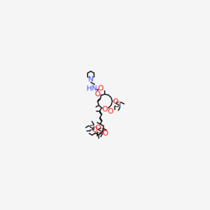 CCC(O[Si](CC)(CC)CC)C(C)C1OC1CC(C)(/C=C/C=C(\C)C1OC(=O)CC(O[Si](CC)(CC)CC)CCC(C)C(OC(=O)NCCN2CCCCC2)/C=C/C1C)O[Si](CC)(CC)CC